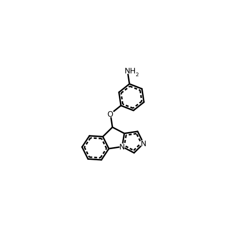 Nc1cccc(OC2c3ccccc3-n3cncc32)c1